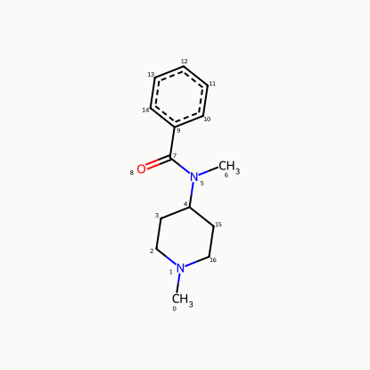 CN1CCC(N(C)C(=O)c2ccccc2)CC1